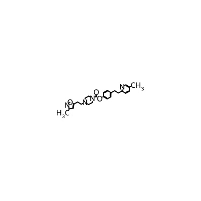 Cc1ccc(CCc2ccc(OC(=O)N3CCN(CCc4cc(C)no4)CC3)cc2)nc1